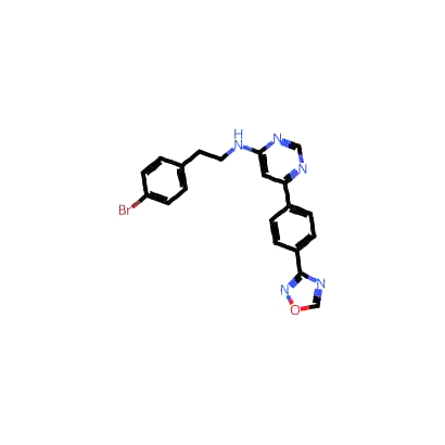 Brc1ccc(CCNc2cc(-c3ccc(-c4ncon4)cc3)ncn2)cc1